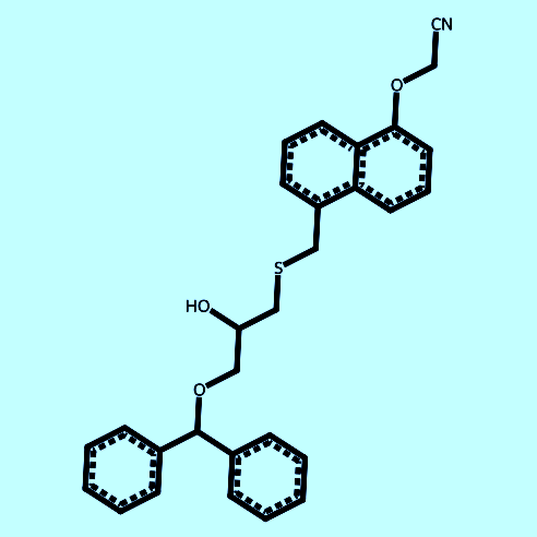 N#CCOc1cccc2c(CSCC(O)COC(c3ccccc3)c3ccccc3)cccc12